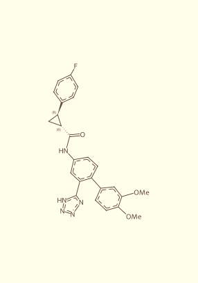 COc1ccc(-c2ccc(NC(=O)[C@@H]3C[C@H]3c3ccc(F)cc3)cc2-c2nnn[nH]2)cc1OC